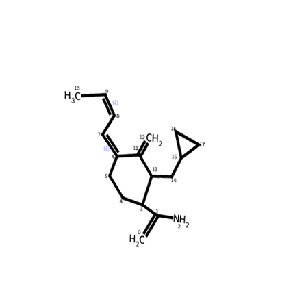 C=C(N)C1CC/C(=C/C=C\C)C(=C)C1CC1CC1